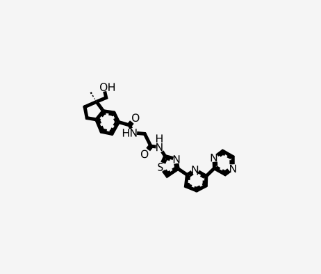 C[C@@]1(CO)CCc2ccc(C(=O)NCC(=O)Nc3nc(-c4cccc(-c5cnccn5)n4)cs3)cc21